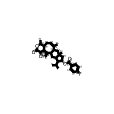 C=C1C2CC3C(C(C)C)C(OC(=O)c4ccc(F)cc4)CC3(C)CC2C(C)=CCC2C(C)OC(=O)C(O)C12O